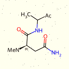 CN[C@H](CC(N)=O)C(=O)NC(C)C(C)=O